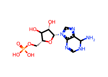 NC1NC=Nc2c1ncn2[C@@H]1O[C@H](COP(=O)(O)O)C(O)[C@@H]1O